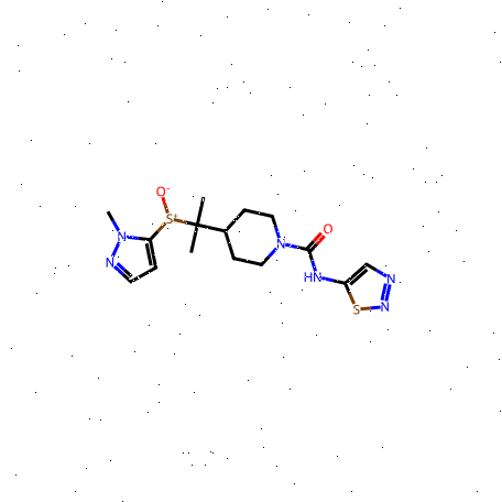 Cn1nccc1[S+]([O-])C(C)(C)C1CCN(C(=O)Nc2cnns2)CC1